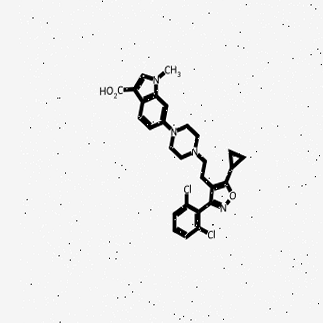 Cn1cc(C(=O)O)c2ccc(N3CCN(CCc4c(-c5c(Cl)cccc5Cl)noc4C4CC4)CC3)cc21